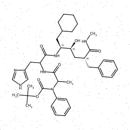 CNC(=O)[C@H](Cc1ccccc1)C[C@H](O)[C@H](CC1CCCCC1)NC(=O)C(Cc1c[nH]cn1)NC(=O)C(C)N(C(=O)OC(C)(C)C)c1ccccc1